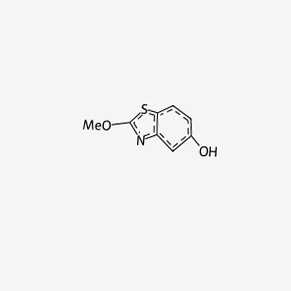 COc1nc2cc(O)ccc2s1